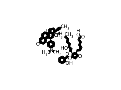 CC#C[C@]1(O)CC[C@H]2[C@@H]3CCC4=CC(=O)CCC4=C3[C@@H](c3ccc(N(C)C)cc3)C[C@@]21C.CCCCC[C@H](O)/C=C/[C@H]1[C@H](OC(=O)c2ccccc2O)CC(=O)[C@@H]1C/C=C\CCCC(=O)O